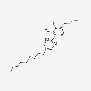 CCCCCCCCCc1cnc(-c2ccc(CCCC)c(F)c2F)nc1